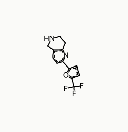 FC(F)(F)c1ccc(-c2ccc3c(n2)CCNC3)o1